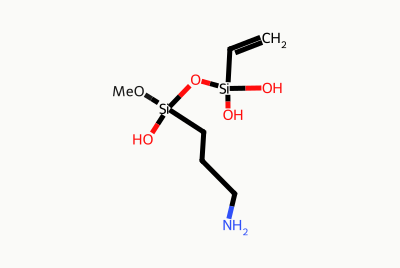 C=C[Si](O)(O)O[Si](O)(CCCN)OC